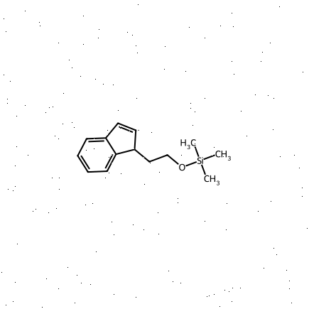 C[Si](C)(C)OCCC1[C]=Cc2ccccc21